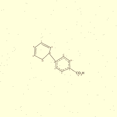 O=C(O)c1ccc(C2C=CC=CC2)cc1